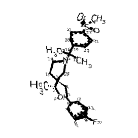 C[C@@H](O)[C@]1(CCc2ccc(F)cc2)CCN(C(C)(C)c2ccc(S(C)(=O)=O)cc2)C1